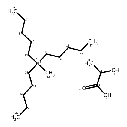 CC(O)C(=O)O.CCCCC[N+](C)(CCCCC)CCCCC